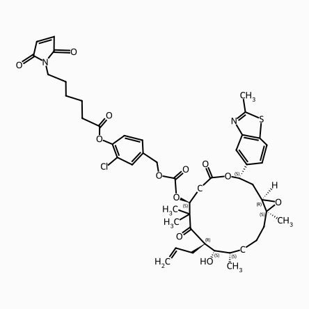 C=CC[C@H]1C(=O)C(C)(C)[C@@H](OC(=O)OCc2ccc(OC(=O)CCCCCN3C(=O)C=CC3=O)c(Cl)c2)CC(=O)O[C@H](c2ccc3sc(C)nc3c2)C[C@H]2O[C@@]2(C)CCC[C@H](C)[C@@H]1O